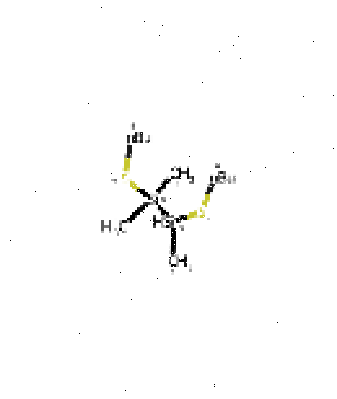 CCCCS[SiH](C)[Si](C)(C)SCCCC